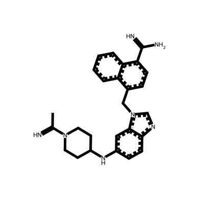 CC(=N)N1CCC(Nc2ccc3ncn(Cc4ccc(C(=N)N)c5ccccc45)c3c2)CC1